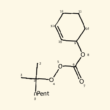 CCCCCC(C)(C)OOC(=O)OC1C=CCCC1